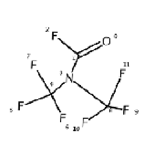 O=C(F)N(C(F)(F)F)C(F)(F)F